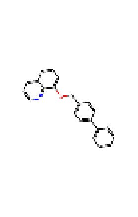 c1ccc(-c2ccc(COc3cccc4cccnc34)cc2)cc1